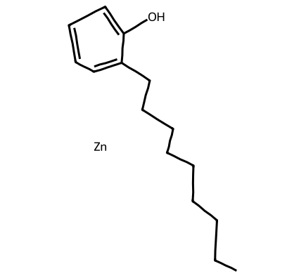 CCCCCCCCCc1ccccc1O.[Zn]